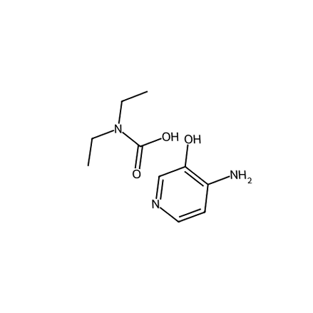 CCN(CC)C(=O)O.Nc1ccncc1O